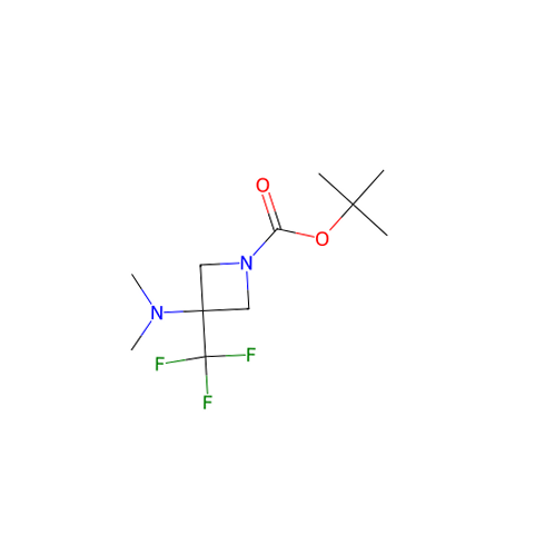 CN(C)C1(C(F)(F)F)CN(C(=O)OC(C)(C)C)C1